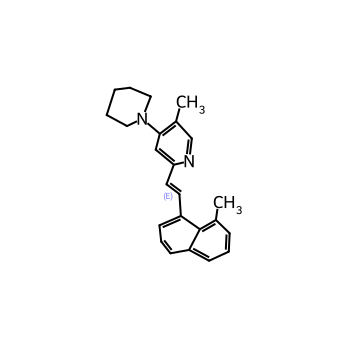 Cc1cnc(/C=C/c2cccc3cccc(C)c23)cc1N1CCCCC1